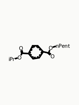 CCCCCOC(=O)c1ccc(C(=O)OC(C)C)cc1